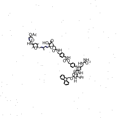 CC(=O)O[C@@H](C)/C=C\C(=O)N[C@@H]1C[C@H](C)[C@H](C/C=C(C)/C=C/[C@H]2O[C@H](CC(=O)NCc3ccc(NC(=O)OCc4ccc(NC(=O)[C@@H](CCCNC(N)=O)NC(=O)[C@H](NC(=O)OCC5c6ccccc6-c6ccccc65)C(C)C)cc4)cc3)C[C@@]3(CO3)[C@@H]2O)O[C@@H]1C